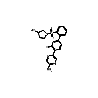 Nc1cnc(-c2ccc(-c3ccccc3S(=O)(=O)N3CCC(O)C3)cc2F)cn1